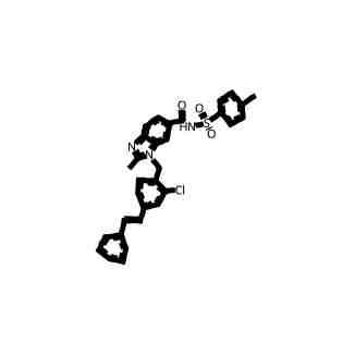 Cc1ccc(S(=O)(=O)NC(=O)c2ccc3nc(C)n(Cc4ccc(C=Cc5ccccc5)cc4Cl)c3c2)cc1